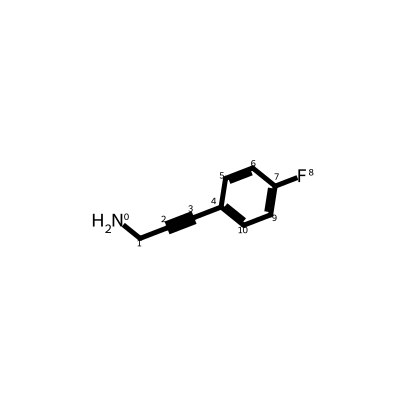 NCC#Cc1ccc(F)cc1